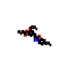 COc1cc(/C=C/C(=O)N[C@H]2CC[C@H](C)CC2)ccc1OC(C)=O